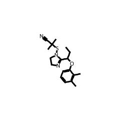 CCC(Oc1cccc(C)c1C)C1=NCCN1SC(C)(C)C#N